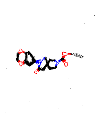 CC(C)(C)OC(=O)N1CCC2(CC1)CC(=O)N(c1ccc3c(c1)OCCO3)C2